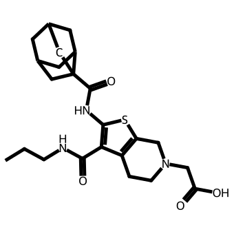 CCCNC(=O)c1c(NC(=O)C23CC4CC(CC2C4)C3)sc2c1CCN(CC(=O)O)C2